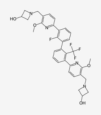 COc1nc(-c2cccc(-c3cccc(-c4ccc(CN5CC(O)C5)c(OC)n4)c3C(F)(F)F)c2F)ccc1CN1CC(O)C1